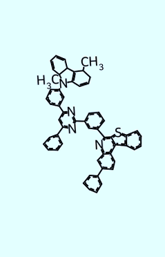 CC1CC=CC2=C1C1C=CC=CC1(C)N2c1cccc(-c2cc(-c3ccccc3)nc(-c3cccc(-c4nc5cc(-c6ccccc6)ccc5c5c4sc4ccccc45)c3)n2)c1